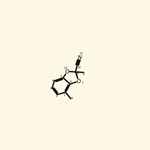 Cc1cccc2c1OC(C)(C#N)O2